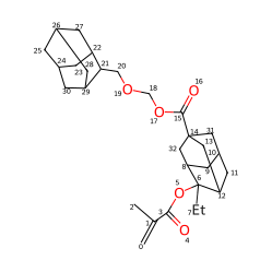 C=C(C)C(=O)OC1(CC)C2CC3CC1CC(C(=O)OCOCC1C4CC5CC(C4)CC1C5)(C3)C2